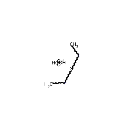 CCCCCCCC/C=C\CCCCCCCCOCCCCCCCC/C=C\CCCCCCCC.O=P(O)(O)O